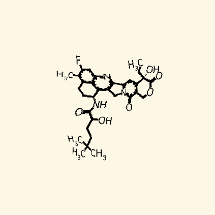 CC[C@@]1(O)C(=O)OCc2c1cc1n(c2=O)Cc2c-1nc1cc(F)c(C)c3c1c2[C@@H](NC(=O)C(O)CCC(C)(C)C)CC3